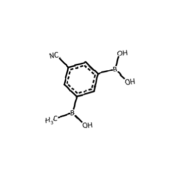 CB(O)c1cc(C#N)cc(B(O)O)c1